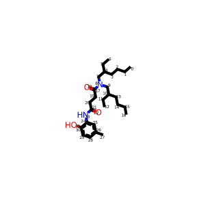 CCCCC(CC)CN(CC(CC)CCCC)C(=O)CCC(=O)Nc1cc(C)ccc1O